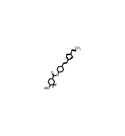 C/C=C/c1ccc(/C=C/C2CCC(OC(=O)C3CCC(CCCC)C(F)(F)C3)CC2)cc1